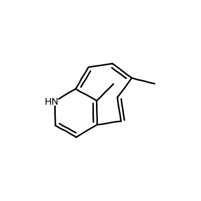 CC1=C2C=CN/C1=C/C=C(C)\C=C\2